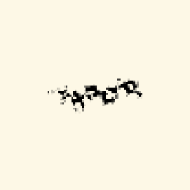 CCCS(=O)(=O)N1CC(CC#N)(n2ccc(-c3ccnc(Nc4cnn(C)c4)n3)n2)C1